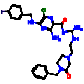 N/C(=N\C(=O)c1nc(Cl)c(NCc2ccc(I)cc2)nc1N)NCCN1CCN(Cc2ccccc2)C(=O)C1